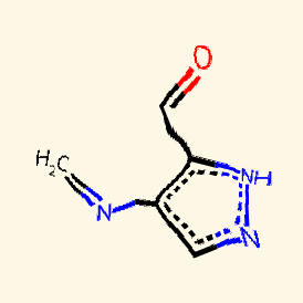 C=Nc1cn[nH]c1C=O